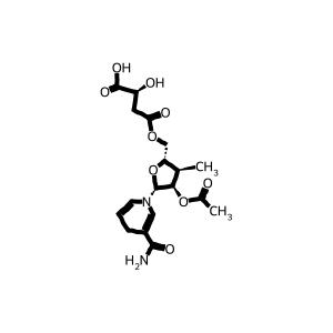 CC(=O)O[C@@H]1[C@H](C)[C@@H](COC(=O)C[C@H](O)C(=O)O)O[C@H]1N1C=CCC(C(N)=O)=C1